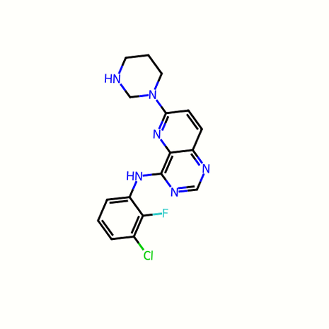 Fc1c(Cl)cccc1Nc1ncnc2ccc(N3CCCNC3)nc12